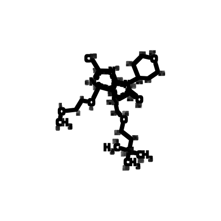 COCCOc1nc(Cl)nc2c1n(COCC[Si](C)(C)C)c(=O)n2C1CCOCC1